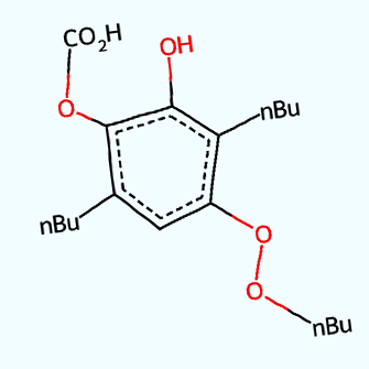 CCCCOOc1cc(CCCC)c(OC(=O)O)c(O)c1CCCC